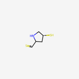 S=CC1C[C@H](S)CN1